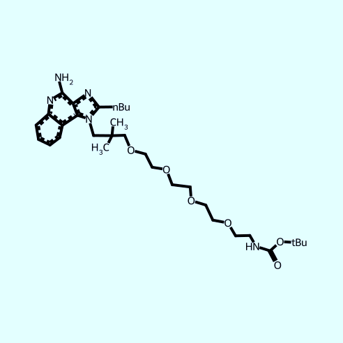 CCCCc1nc2c(N)nc3ccccc3c2n1CC(C)(C)COCCOCCOCCOCCNC(=O)OC(C)(C)C